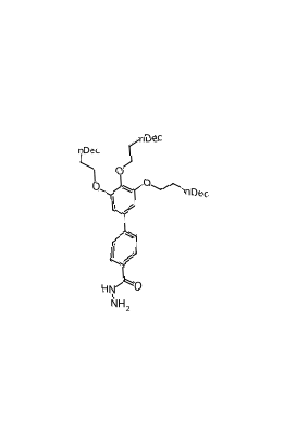 CCCCCCCCCCCCOc1cc(-c2ccc(C(=O)NN)cc2)cc(OCCCCCCCCCCCC)c1OCCCCCCCCCCCC